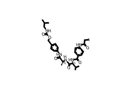 CC(C)CNC(=O)OCc1ccc(NC(=O)[C@H](C)NC(=O)[C@@H](NC(=O)c2ccc(NC(=O)CI)cc2)C(C)C)cc1